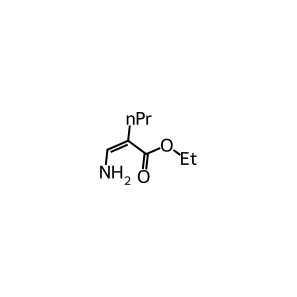 CCCC(=CN)C(=O)OCC